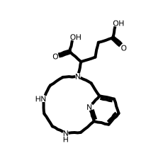 O=C(O)CCC(C(=O)O)N1CCNCCNCc2cccc(n2)C1